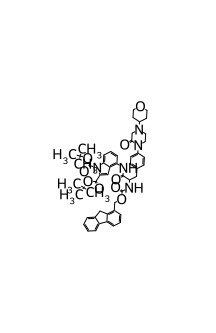 CC(C)(C)OC(=O)c1cc2c(NC(=O)C(Cc3ccc(N4CCN(C5CCOCC5)CC4=O)cc3)NC(=O)OCc3cccc4c3Cc3ccccc3-4)cccc2n1C(=O)OC(C)(C)C